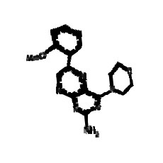 COc1ccccc1-c1cnc2nc(N)nc(N3CCOCC3)c2n1